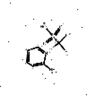 Nc1ccccn1.O=S(=O)(O)C(F)(F)F